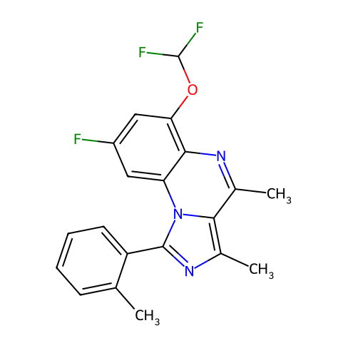 Cc1ccccc1-c1nc(C)c2c(C)nc3c(OC(F)F)cc(F)cc3n12